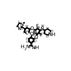 CN1CCN=C1c1cccc(Oc2nc(Oc3cc(C(=N)N)ccc3O)c(F)c(N(C)C3CCNCC3)c2F)c1